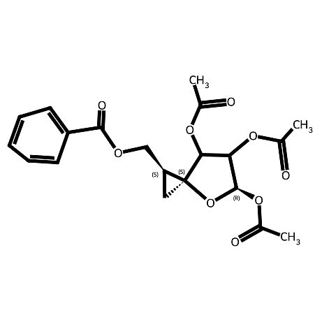 CC(=O)OC1C(OC(C)=O)[C@@]2(C[C@H]2COC(=O)c2ccccc2)O[C@@H]1OC(C)=O